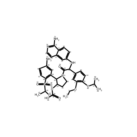 CCOc1cc(C(Nc2ccc3c(N)nccc3c2)C(=O)N2CCC(OC(=O)O)C2c2cc(N)ccc2S(=O)(=O)C(C)C)ccc1OC(C)C